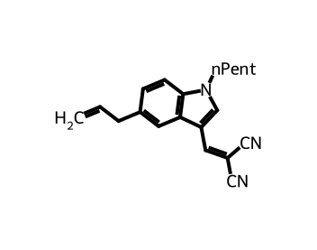 C=CCc1ccc2c(c1)c(C=C(C#N)C#N)cn2CCCCC